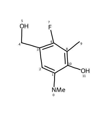 CNc1cc(CO)c(F)c(C)c1O